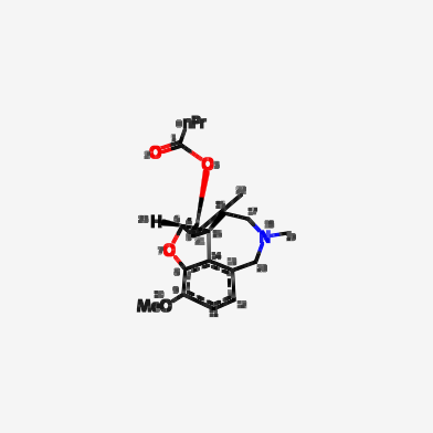 CCCC(=O)O[C@@H]1C[C@@H]2Oc3c(OC)ccc4c3[C@]2(CCN(C)C4)C1C